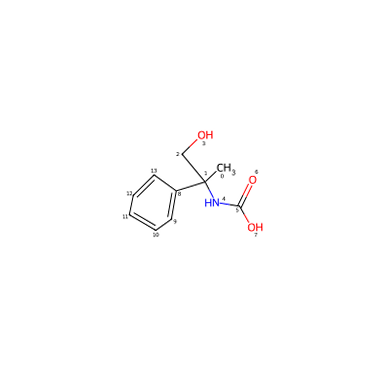 CC(CO)(NC(=O)O)c1ccccc1